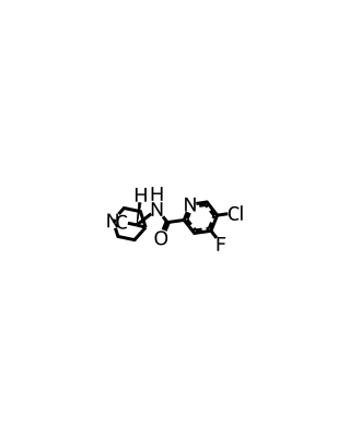 O=C(N[C@H]1CN2CCC1CC2)c1cc(F)c(Cl)cn1